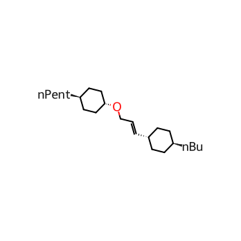 CCCCC[C@H]1CC[C@H](OC/C=C/[C@H]2CC[C@H](CCCC)CC2)CC1